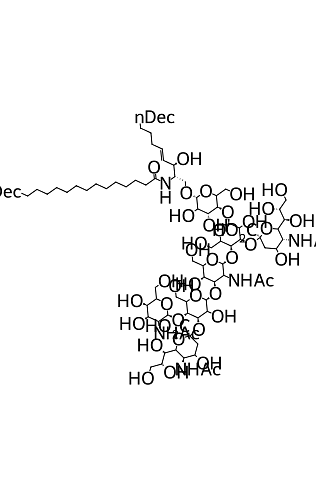 CCCCCCCCCCCCC/C=C/[C@@H](O)[C@H](CO[C@@H]1OC(CO)[C@@H](O[C@@H]2OC(CO)[C@H](O[C@@H]3OC(CO)[C@H](O)[C@H](O[C@@H]4OC(CO)[C@H](O[C@@H]5OC(CO)[C@H](O)[C@H](O)C5NC(C)=O)[C@H](O[C@]5(C(=O)O)CC(O)[C@@H](NC(C)=O)C([C@H](O)[C@H](O)CO)O5)C4O)C3NC(C)=O)[C@H](O[C@]3(C(=O)O)CC(O)[C@@H](NC(C)=O)C([C@H](O)[C@H](O)CO)O3)C2O)[C@H](O)C1O)NC(=O)CCCCCCCCCCCCCCCCCCCCCCC